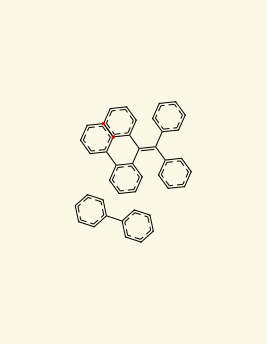 c1ccc(-c2ccccc2)cc1.c1ccc(C(=C(c2ccccc2)c2ccccc2-c2ccccc2)c2ccccc2)cc1